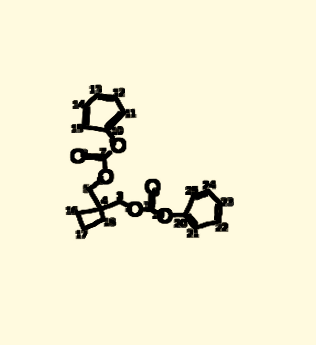 O=C(OCC1(COC(=O)Oc2ccccc2)CCC1)Oc1ccccc1